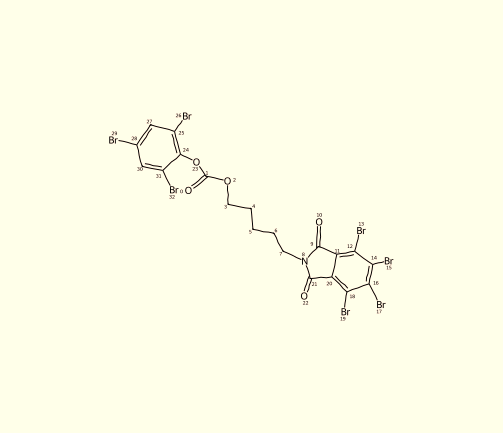 O=C(OCCCCCN1C(=O)c2c(Br)c(Br)c(Br)c(Br)c2C1=O)Oc1c(Br)cc(Br)cc1Br